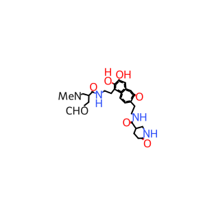 CNCC(CCC=O)C(=O)NCCc1c(O)c(O)cc2cc(=O)c(CCNC(=O)C3CCC(=O)NC3)ccc12